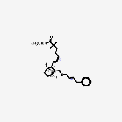 CN(O)C(=O)C(C)(C)CC/C=C\C[C@H]1[C@@H](CSC/C=C/Cc2ccccc2)[C@H]2CC[C@@H]1O2